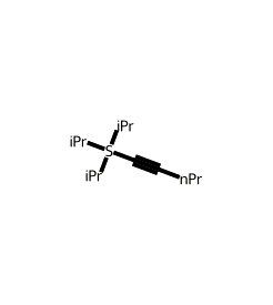 CCCC#CS(C(C)C)(C(C)C)C(C)C